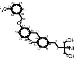 NC(CO)(CO)CCc1ccc2c(c1)Cc1cc(OCc3cccc(C(F)(F)F)c3)ccc1S2